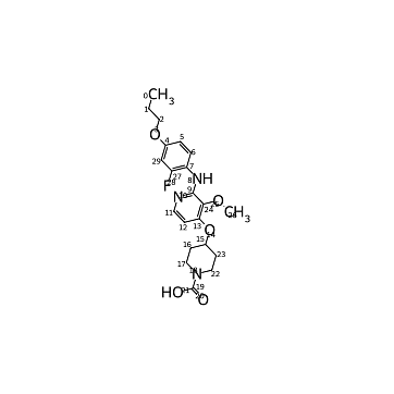 CCCOc1ccc(Nc2nccc(OC3CCN(C(=O)O)CC3)c2OC)c(F)c1